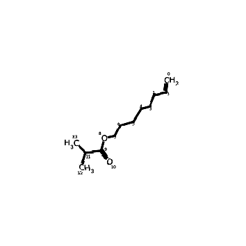 C=CCCCCCCOC(=O)C(C)C